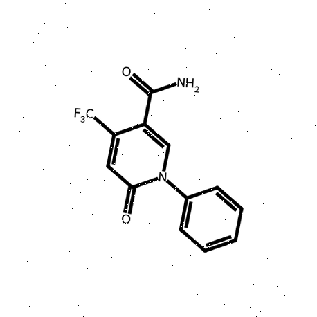 NC(=O)c1cn(-c2ccccc2)c(=O)cc1C(F)(F)F